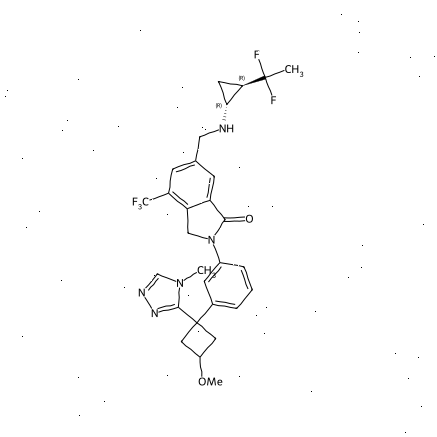 COC1CC(c2cccc(N3Cc4c(cc(CN[C@@H]5C[C@H]5C(C)(F)F)cc4C(F)(F)F)C3=O)c2)(c2nncn2C)C1